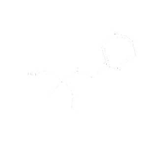 CCCO[Si](C)(CCc1ccccn1)OCCC